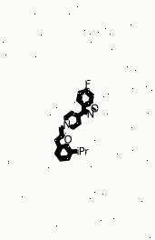 CC(C)c1cccc2c1OC(CN1CCC(c3noc4cc(F)ccc34)CC1)C2